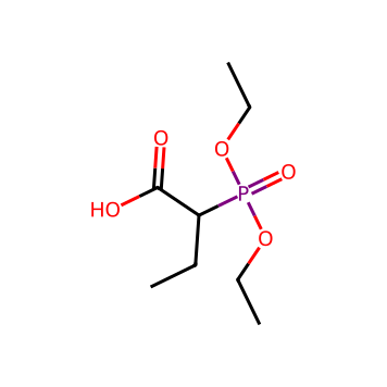 CCOP(=O)(OCC)C(CC)C(=O)O